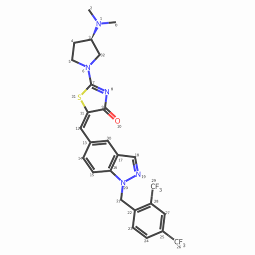 CN(C)[C@@H]1CCN(C2=NC(=O)C(=Cc3ccc4c(cnn4Cc4ccc(C(F)(F)F)cc4C(F)(F)F)c3)S2)C1